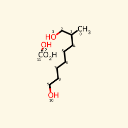 CC(CO)CCCCCCO.O=C(O)O